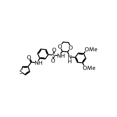 COc1cc(NC2OCCOC2NS(=O)(=O)c2cccc(NC(=O)c3ccsc3)c2)cc(OC)c1